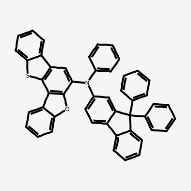 c1ccc(N(c2ccc3c(c2)C(c2ccccc2)(c2ccccc2)c2ccccc2-3)c2cc3c4ccccc4sc3c3c2oc2ccccc23)cc1